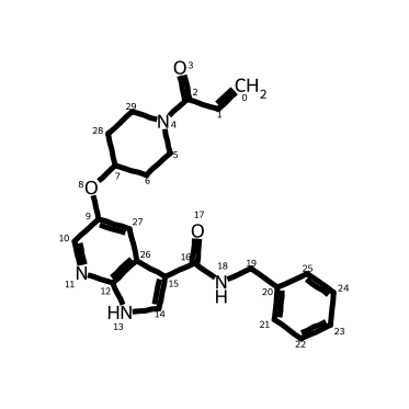 C=CC(=O)N1CCC(Oc2cnc3[nH]cc(C(=O)NCc4ccccc4)c3c2)CC1